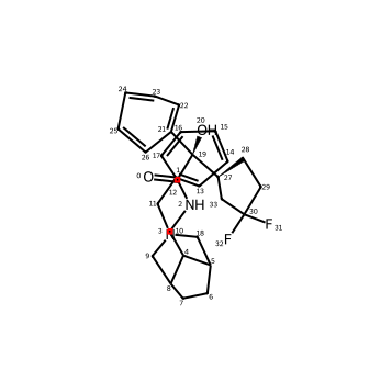 O=C(NCC1C2CCC1CN(Cc1ccccc1)C2)[C@](O)(c1ccccc1)[C@H]1CCC(F)(F)C1